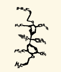 C=CCOc1c(C)cc(C(C)(C)c2cc(C)c(OCC=C)c(C)c2)cc1C